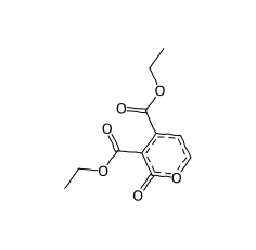 CCOC(=O)c1ccoc(=O)c1C(=O)OCC